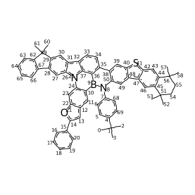 CC(C)(C)c1ccc(N2B3c4cc5cc(-c6ccccc6)oc5cc4-n4c5cc6c(cc5c5ccc(c3c54)-c3cc4sc5cc7c(cc5c4cc32)C(C)(C)CCC7(C)C)C(C)(C)c2ccccc2-6)cc1